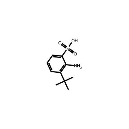 CC(C)(C)c1cccc(S(=O)(=O)O)c1N